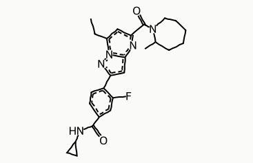 CCc1cc(C(=O)N2CCCCCC2C)nc2cc(-c3ccc(C(=O)NC4CC4)cc3F)nn12